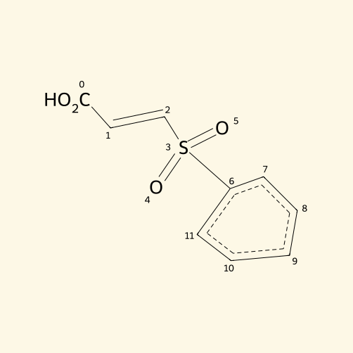 O=C(O)C=CS(=O)(=O)c1ccccc1